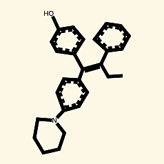 CCC(=C(c1ccc(O)cc1)c1ccc(N2CCCCC2)cc1)c1ccccc1